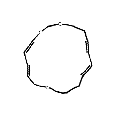 C1=C/CCCCC/C=C/C=C/CCCCC/C=C/1